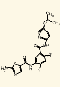 CC(C)Oc1ccc(NC(=O)c2cc(NC(=O)c3cnc(N)s3)c(F)cc2F)nc1